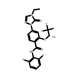 CCn1cnn(-c2ccc(C(=O)Nc3c(F)cccc3F)c(O[C@@H](C)C(F)(F)F)c2)c1=O